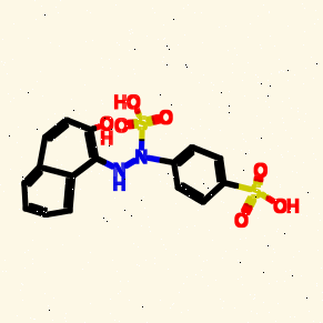 O=S(=O)(O)c1ccc(N(Nc2c(O)ccc3ccccc23)S(=O)(=O)O)cc1